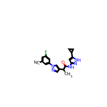 CC(C(=O)Nc1cc(C2CC2)[nH]n1)c1cnn(-c2cc(F)cc(C#N)c2)c1